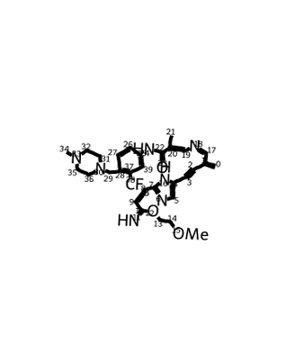 C=C(C#Cc1cnc(/C=C\C(=N)OCCOC)[nH]1)/C=N\C=C(/C)C(=O)Nc1ccc(CN2CCN(C)CC2)c(C(F)(F)F)c1